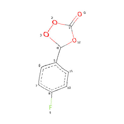 O=C1OOC(c2ccc(F)cc2)O1